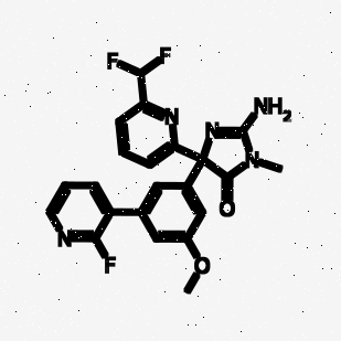 COc1cc(-c2cccnc2F)cc(C2(c3cccc(C(F)F)n3)N=C(N)N(C)C2=O)c1